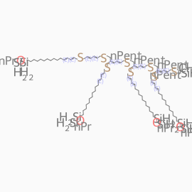 CCCCCC(CSC/C=C/C=C/CSC/C=C/C=C/CCCCCCCCCCC[SiH2]O[SiH2]CCC)/C(=C\C=C\CSCC(CCCCC)/C(=C\C=C\CSCC(CCCCC)/C(=C\C=C\CSCC(C)([SiH3])CCCCC)CSC/C=C/C=C/CCCCCCCCCCC[SiH2]O[SiH2]CCC)CSC/C=C/C=C/CCCCCCCCCCC[SiH2]O[SiH2]CCC)CSC/C=C/C=C/CCCCCCCCCCC[SiH2]O[SiH2]CCC